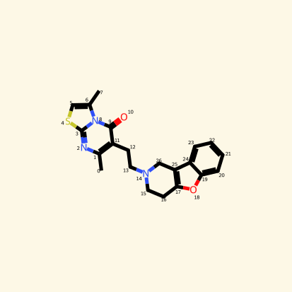 Cc1nc2scc(C)n2c(=O)c1CCN1CCc2oc3ccccc3c2C1